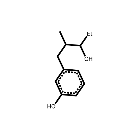 CCC(O)C(C)Cc1cccc(O)c1